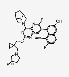 C#Cc1c(F)ccc2cc(O)cc(-c3cc4nc(OCC5(CN6CC[C@@H](F)C6)CC5)nc(N5CC6CCC(C5)N6)c4nc3F)c12